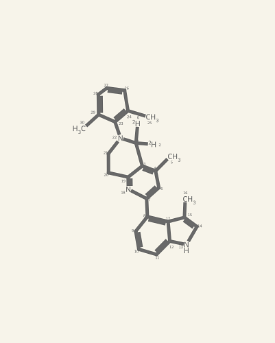 [2H]C1([2H])c2c(C)cc(-c3cccc4[nH]cc(C)c34)nc2CCN1c1c(C)cccc1C